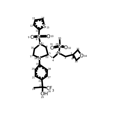 CC1(CN(C[C@H]2CN(S(=O)(=O)c3cccs3)CCN2c2ccc(C(C)(O)C(F)(F)F)cc2)S(C)(=O)=O)COC1